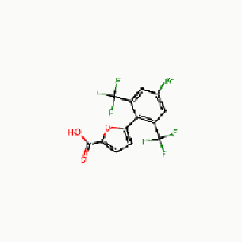 O=C(O)c1ccc(-c2c(C(F)(F)F)cc(Br)cc2C(F)(F)F)o1